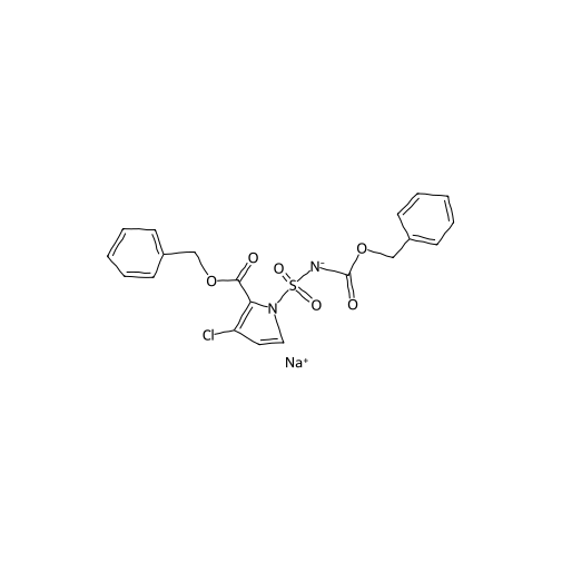 O=C([N-]S(=O)(=O)n1ccc(Cl)c1C(=O)OCc1ccccc1)OCc1ccccc1.[Na+]